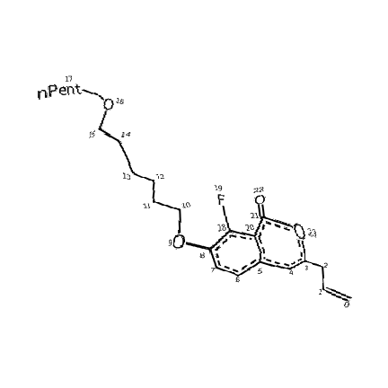 C=CCc1cc2ccc(OCCCCCCOCCCCC)c(F)c2c(=O)o1